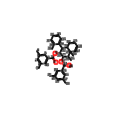 Cc1cc(C)cc(C(=O)OC2C(OC(=O)c3cc(C)cc(C)c3)C(C)C3(C)C=CC=CC3C2c2ccccc2C)c1